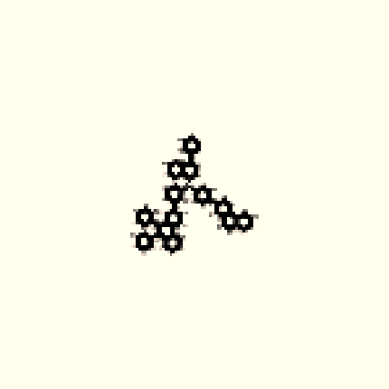 c1ccc(-c2ccc(N(c3ccc(-c4ccc5c(ccc6ccccc65)c4)cc3)c3cccc(-c4ccc5c(c4)c(-c4ccccc4)c(-c4ccccc4)c4ccccc45)c3)c3ccccc23)cc1